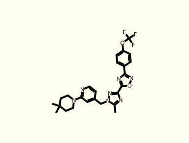 Cc1nc(-c2nc(-c3ccc(OC(F)(F)F)cc3)no2)nn1Cc1ccnc(N2CCC(C)(C)CC2)c1